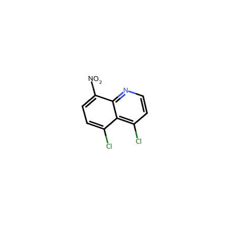 O=[N+]([O-])c1ccc(Cl)c2c(Cl)ccnc12